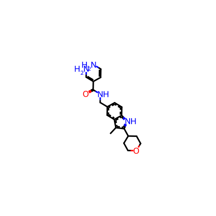 Cc1c(C2CCOCC2)[nH]c2ccc(CNC(=O)C(/C=C\N)=C/N)cc12